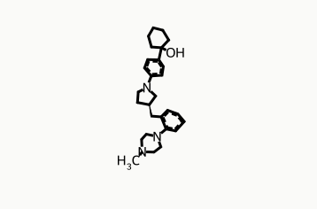 CN1CCN(c2ccccc2C[C@H]2CCN(c3ccc(C4(O)CCCCC4)cc3)C2)CC1